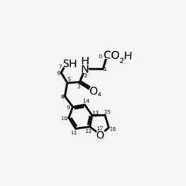 O=C(O)CNC(=O)C(CS)Cc1ccc2c(c1)CCO2